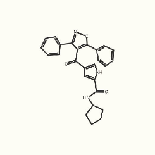 O=C(NC1CCCC1)c1cc(C(=O)c2c(-c3ccccc3)noc2-c2ccccc2)c[nH]1